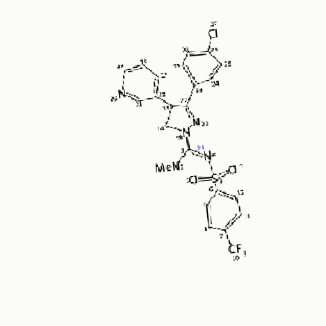 CN/C(=N\S(=O)(=O)c1ccc(C(F)(F)F)cc1)N1CC(c2cccnc2)C(c2ccc(Cl)cc2)=N1